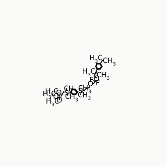 CO[Si](CC[Si](C)(C)c1ccc([Si](C)(C)CCCOCC(F)(F)OCC(C)(C)c2ccc(C(C)C)cc2)cc1)(OC)OC